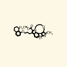 CCOC(=O)c1c(CCCOc2cccc3c2CCCC3)c2ccc(F)c3c2n1CCCCOCc1c-3c(C)nn1C